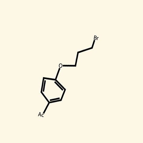 CC(=O)c1ccc(OCCCBr)cc1